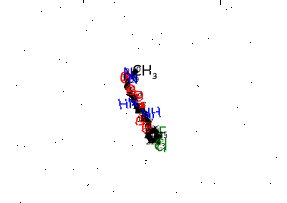 Cc1noc(COCC(=O)NC23CC(NC(=O)COc4ccc(Cl)c(F)c4)(C2)C3)n1